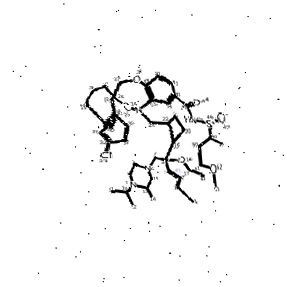 CC/C=C/C(CN1CCN(C(C)C)C(C)C1)(OCC)C1CCC1CN1C[C@@]2(CCCc3cc(Cl)ccc32)COc2ccc(C(=O)N[S+]([O-])C(C)CCOC)cc21